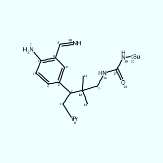 CC(C)CC(c1ccc(N)c(C=N)c1)C(C)(C)CNC(=O)NC(C)(C)C